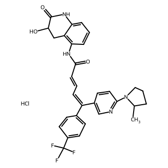 CC1CCCN1c1ccc(C(=CC=CC(=O)Nc2cccc3c2CC(O)C(=O)N3)c2ccc(C(F)(F)F)cc2)cn1.Cl